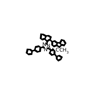 CC1(C)c2ccccc2-c2cc(-c3ccc4ccccc4c3-c3nc(-c4ccc(-c5ccccc5)cc4)nc(-c4ccc(-c5ccccc5)cc4)n3)ccc21